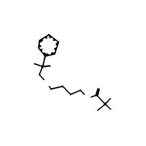 CC(C)(C)C(=O)OCCC[CH2][Zn][CH2]C(C)(C)c1ccccc1